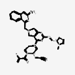 C=C(F)C(=O)N1CCN(c2nc(OC[C@@H]3CCCN3C)nc3c2CN(Cc2nc(N)cc4ccccc24)C3)C[C@@H]1CC#N